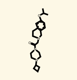 CC(C)Oc1ccc2c(c1)CCN(CC(=O)N1CCN(C3CCC3)CC1)C2